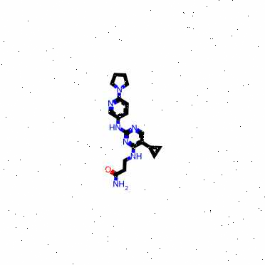 NC(=O)CCNc1nc(Nc2ccc(N3CCCC3)nc2)ncc1C1CC1